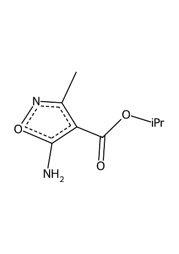 Cc1noc(N)c1C(=O)OC(C)C